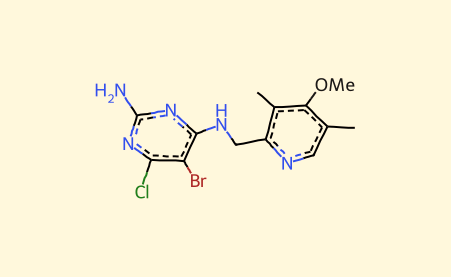 COc1c(C)cnc(CNc2nc(N)nc(Cl)c2Br)c1C